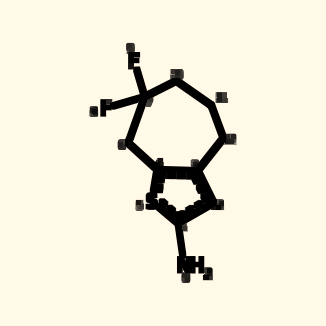 Nc1[c]c2c(s1)CC(F)(F)CCC2